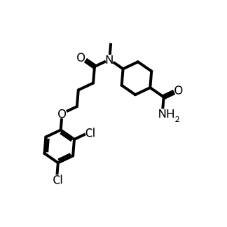 CN(C(=O)CCCOc1ccc(Cl)cc1Cl)C1CCC(C(N)=O)CC1